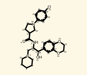 O=C(N[C@H](CN1CCCCC1)[C@H](O)c1ccc2c(c1)OCCO2)C1CCN(c2ccc(Cl)cc2)C1